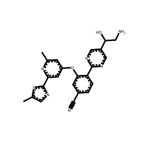 Cc1cc(Oc2cc(C#N)ccc2-c2ncc(C(O)CN)cn2)cc(-c2ncc(C)s2)n1